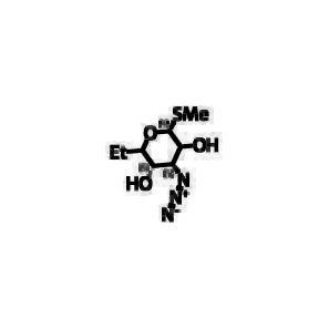 CCC1O[C@@H](SC)C(O)[C@@H](N=[N+]=[N-])[C@@H]1O